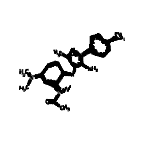 CC(=O)NC1=CC(=[N+](C)C)C=CC1=Nc1c(C)nn(-c2ccc(C)cc2)c1N